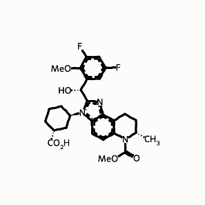 COC(=O)N1c2ccc3c(nc([C@H](O)c4cc(F)cc(F)c4OC)n3[C@@H]3CCC[C@@H](C(=O)O)C3)c2CC[C@@H]1C